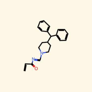 C=CC(=O)N=CN1CCC(C(c2ccccc2)c2ccccc2)CC1